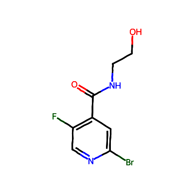 O=C(NCCO)c1cc(Br)ncc1F